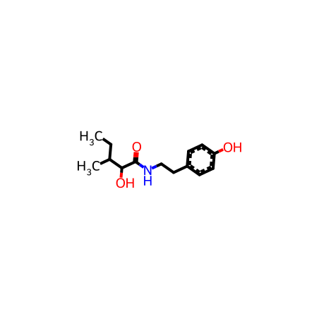 CCC(C)C(O)C(=O)NCCc1ccc(O)cc1